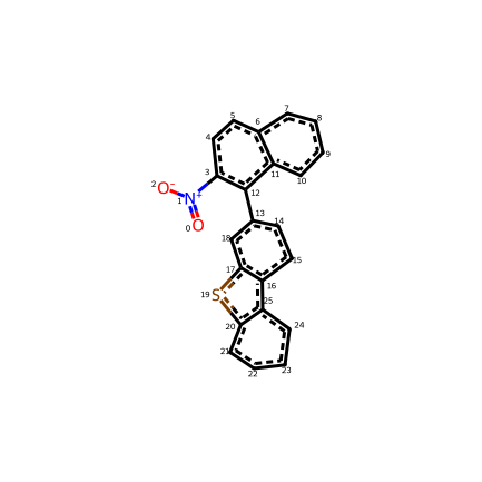 O=[N+]([O-])c1ccc2ccccc2c1-c1ccc2c(c1)sc1ccccc12